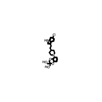 OCC1(CO)COc2c(cccc2N2CCC(CCc3c[nH]c4cc(Cl)ccc34)CC2)O1